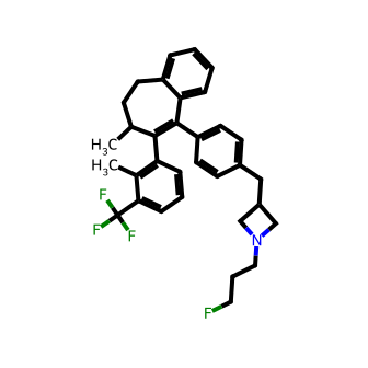 Cc1c(C2=C(c3ccc(CC4CN(CCCF)C4)cc3)c3ccccc3CCC2C)cccc1C(F)(F)F